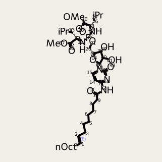 CCCCCCCC/C=C/CCCCCCCC(=O)Nc1ccn([C@@H]2O[C@H](COP(=O)(N[C@@H](CC(C)C)C(=O)OC)N[C@@H](CC(C)C)C(=O)OC)C(O)C2O)c(=O)n1